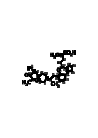 CC(C)N1CC2(CCN([C@@H](C)Cc3ccccc3O[C@H](CCN(C)C(=O)O)c3cccs3)CC2)O[C@H](C)C1=O